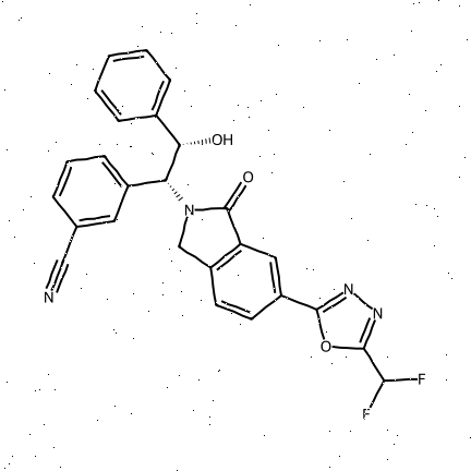 N#Cc1cccc([C@H]([C@@H](O)c2ccccc2)N2Cc3ccc(-c4nnc(C(F)F)o4)cc3C2=O)c1